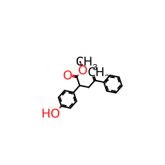 C=C(CC(C(=O)OC)c1ccc(O)cc1)c1ccccc1